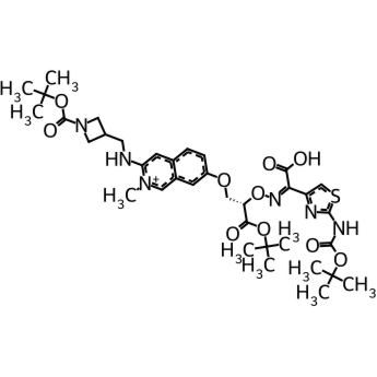 C[n+]1cc2cc(OC[C@H](O/N=C(\C(=O)O)c3csc(NC(=O)OC(C)(C)C)n3)C(=O)OC(C)(C)C)ccc2cc1NCC1CN(C(=O)OC(C)(C)C)C1